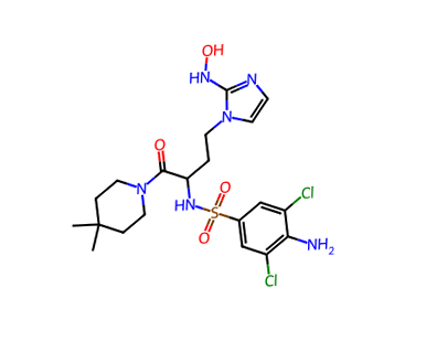 CC1(C)CCN(C(=O)C(CCn2ccnc2NO)NS(=O)(=O)c2cc(Cl)c(N)c(Cl)c2)CC1